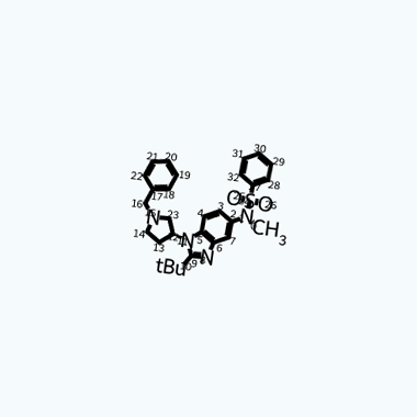 CN(c1ccc2c(c1)nc(C(C)(C)C)n2[C@H]1CCN(Cc2ccccc2)C1)S(=O)(=O)c1ccccc1